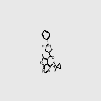 Cc1oc2ncnc(NC3(C)CC3)c2c1C(=O)C1C[C@H]2[C@H](c3ccccc3)[N@@]2C1